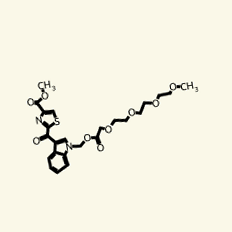 COCCOCCOCCOCC(=O)OCn1cc(C(=O)c2nc(C(=O)OC)cs2)c2ccccc21